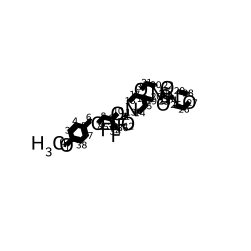 COc1ccc(COCC(OC(=O)N2CCC3(CC2)CN(S(=O)(=O)N2CCOCC2)CCO3)C(F)(F)F)cc1